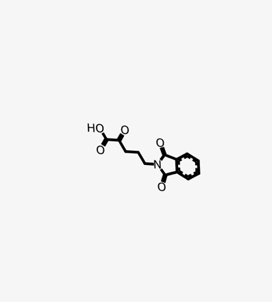 O=C(O)C(=O)CCCN1C(=O)c2ccccc2C1=O